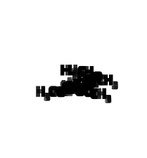 CCOc1ccc(PC(=O)c2c(OC)cc(OC)cc2OC)cc1.[LiH]